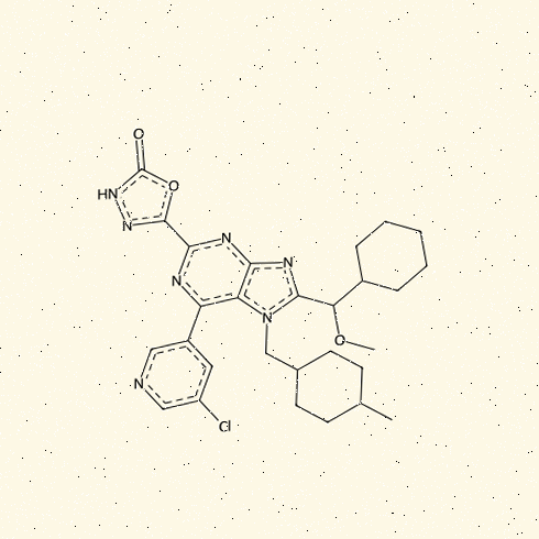 COC(c1nc2nc(-c3n[nH]c(=O)o3)nc(-c3cncc(Cl)c3)c2n1CC1CCC(C)CC1)C1CCCCC1